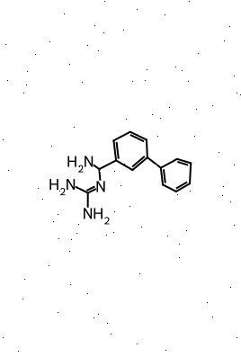 NC(N)=NC(N)c1cccc(-c2ccccc2)c1